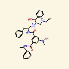 CC(C)CNC[C@@H](NC[C@H](Cc1ccccc1)NC(=O)c1cc(C(=O)N[C@H](C)c2ccccc2)cc(N(C)S)c1)C(O)c1ccccc1